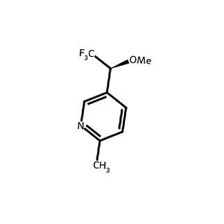 CO[C@@H](c1ccc(C)nc1)C(F)(F)F